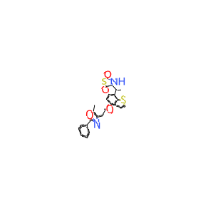 Cc1oc(-c2ccccc2)nc1CCOc1ccc(C(C)C2NC(=O)SC2=O)c2sccc12